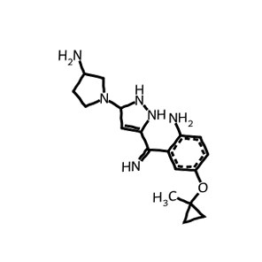 CC1(Oc2ccc(N)c(C(=N)C3=CC(N4CCC(N)C4)NN3)c2)CC1